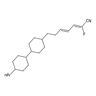 CCCC1CCC(C2CCC(CCC=CC=C(F)C#N)CC2)CC1